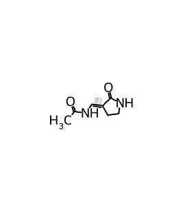 CC(=O)N/C=C1\CCNC1=O